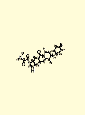 Cc1nc2[nH]cc(C(=O)C(=O)N(C)C)c2cc1C(=O)N1C[C@H](C)N(Cc2ccc(F)cc2)C[C@H]1C